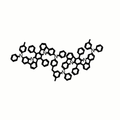 Cc1ccc(N(c2ccccc2)c2ccc3c4cccc5c6c(-c7ccccc7)c7c(c(-c8ccccc8)c6n(c3c2)c45)c2cccc3c4ccc(N(c5ccccc5)c5ccc(Cc6cc(C)cc(N(c8ccccc8)c8ccc9c%10cccc%11c%12c(-c%13ccccc%13)c%13c(c(-c%14ccccc%14)c%12n(c9c8)c%10%11)c8cccc9c%10ccc(N(c%11ccccc%11)c%11cccc(C)c%11)cc%10n%13c98)c6)cc5)cc4n7c32)cc1